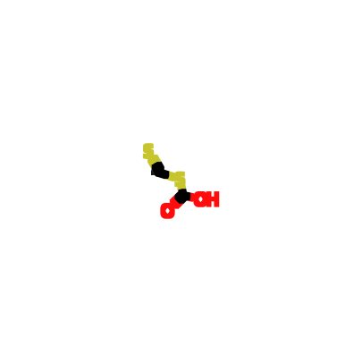 O=C(O)S[C]=S